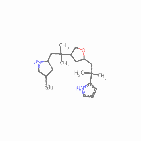 CC(C)(CC1CC(C(C)(C)CC2CC(C(C)(C)C)CN2)CO1)c1ccc[nH]1